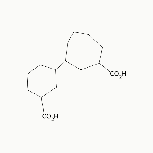 O=C(O)C1CCCCC(C2CCCC(C(=O)O)C2)C1